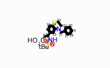 CC(C)(C)S(=O)(=O)NC(CC(=O)O)c1ccc2c(c1)N(Cc1ccccc1)CCS2